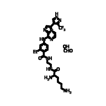 CCc1cc(Nc2nccn3c(-c4c[nH]nc4C(F)(F)F)cnc23)ccc1C(=O)NCCNC(=O)C(N)CCCCN.O=CO